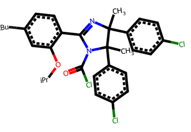 CC(C)Oc1cc(C(C)(C)C)ccc1C1=NC(C)(c2ccc(Cl)cc2)C(C)(c2ccc(Cl)cc2)N1C(=O)Cl